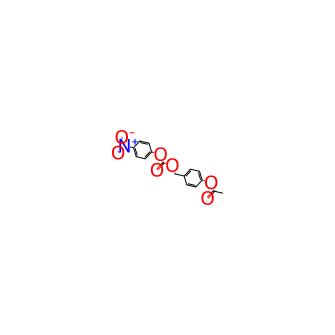 CC(=O)Oc1ccc(COC(=O)Oc2ccc([N+](=O)[O-])cc2)cc1